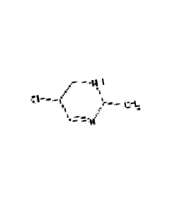 CC1N=CC(Cl)CN1